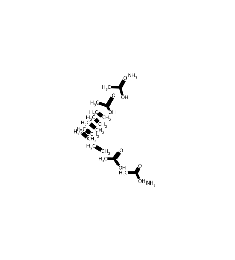 C=C.C=C.C=C.C=C.C=C.C=C.CC(=O)O.CC(=O)O.CC(=O)O.CC(=O)O.N.N